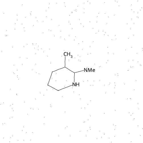 CNC1NCCCC1C